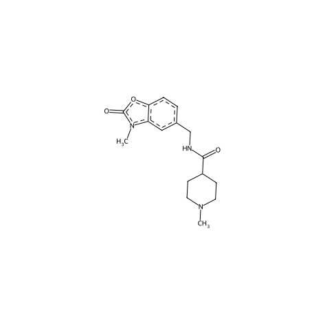 CN1CCC(C(=O)NCc2ccc3oc(=O)n(C)c3c2)CC1